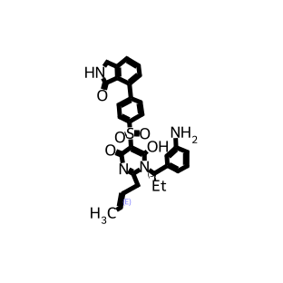 C/C=C/Cc1nc(=O)c(S(=O)(=O)c2ccc(-c3cccc4c3C(=O)NC4)cc2)c(O)n1[C@@H](CC)c1cccc(N)c1